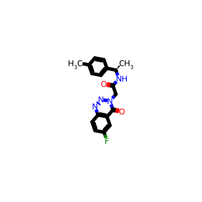 Cc1ccc([C@H](C)NC(=O)Cn2nnc3ccc(F)cc3c2=O)cc1